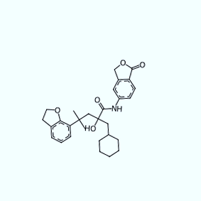 CC(C)(CC(O)(CC1CCCCC1)C(=O)Nc1ccc2c(c1)COC2=O)c1cccc2c1OCC2